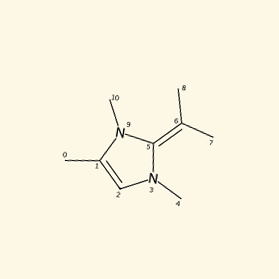 CC1=CN(C)C(=C(C)C)N1C